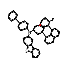 Fc1ccccc1-c1cccc2cccc(-c3cccc(N(c4ccc(-c5ccccc5)cc4)c4ccc5sc6ccccc6c5c4)c3)c12